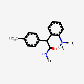 CCNC(=O)C(c1ccc(C(=O)O)cc1)c1ccccc1N(C)C